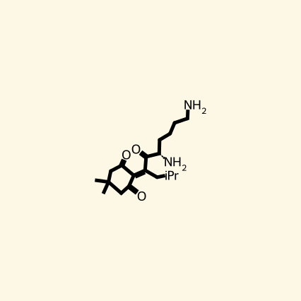 CC(C)CC(C(=O)[C@@H](N)CCCCN)=C1C(=O)CC(C)(C)CC1=O